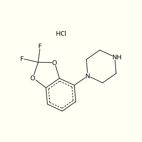 Cl.FC1(F)Oc2cccc(N3CCNCC3)c2O1